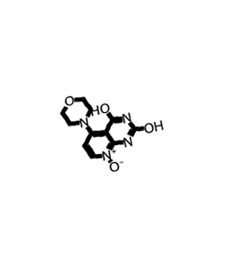 [O-][n+]1ccc(N2CCOCC2)c2c(O)nc(O)nc21